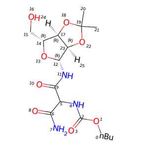 CCCCOC(=O)NC(C(N)=O)C(=O)N[C@@H]1O[C@H](CO)[C@H]2OC(C)(C)O[C@H]21